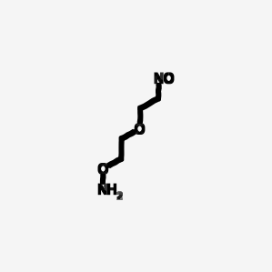 NOCCOCCN=O